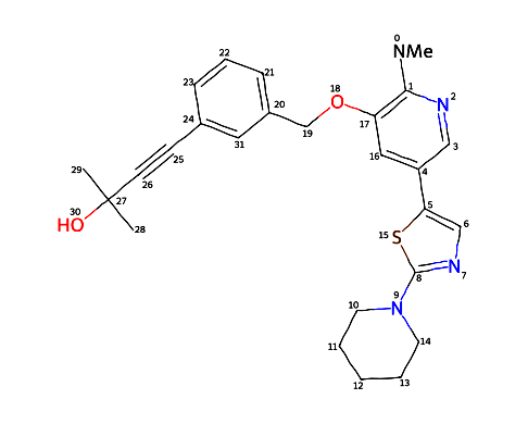 CNc1ncc(-c2cnc(N3CCCCC3)s2)cc1OCc1cccc(C#CC(C)(C)O)c1